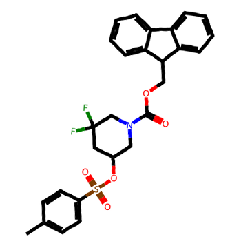 Cc1ccc(S(=O)(=O)OC2CN(C(=O)OCC3c4ccccc4-c4ccccc43)CC(F)(F)C2)cc1